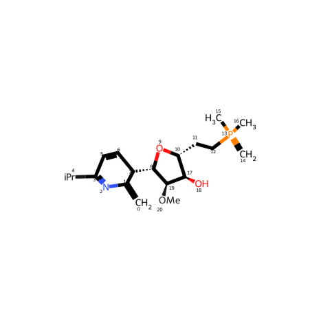 C=C1N=C(C(C)C)C=CC1[C@@H]1O[C@H](CCP(=C)(C)C)[C@@H](O)[C@H]1OC